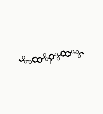 C=CC(=O)OCOc1ccc2cc(C(=O)Oc3ccc(OC(=O)c4ccc5cc(OCOC(=O)C=C)ccc5c4)c(F)c3)ccc2c1